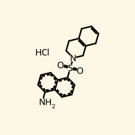 Cl.Nc1cccc2c(S(=O)(=O)N3CCC4=C(CC=CC4)C3)cccc12